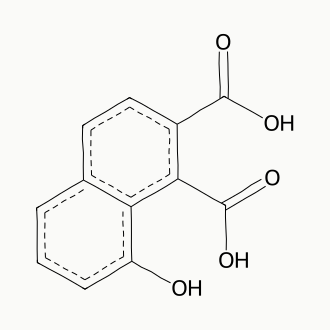 O=C(O)c1ccc2cccc(O)c2c1C(=O)O